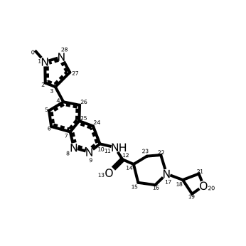 Cn1cc(-c2ccc3nnc(NC(=O)C4CCN(C5COC5)CC4)cc3c2)cn1